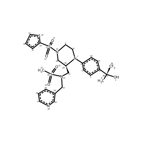 C[C@@](O)(c1ccc(N2CCN(S(=O)(=O)c3cccs3)C[C@@H]2CN(Cc2cccnc2)S(C)(=O)=O)cc1)C(F)(F)F